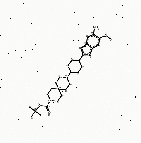 COc1cc2nn(C3CCC(N4CCC5(CCN(C(=O)OC(C)(C)C)CC5)CC4)CC3)cc2cc1N